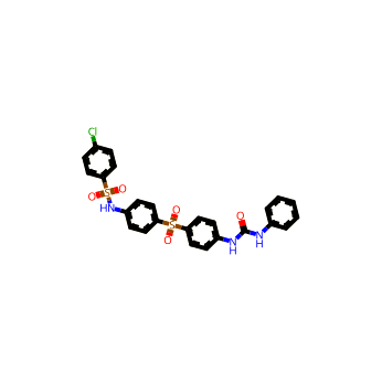 O=C(Nc1ccccc1)Nc1ccc(S(=O)(=O)c2ccc(NS(=O)(=O)c3ccc(Cl)cc3)cc2)cc1